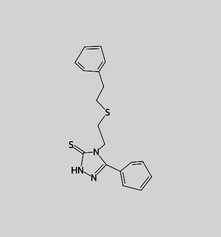 S=c1[nH]nc(-c2ccccc2)n1CCSCCc1ccccc1